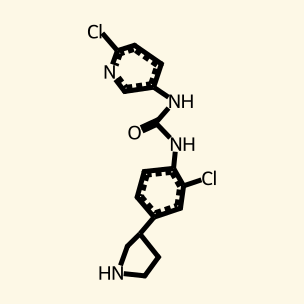 O=C(Nc1ccc(Cl)nc1)Nc1ccc(C2CCNC2)cc1Cl